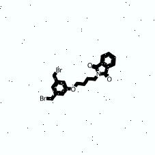 O=C1c2ccccc2C(=O)N1CCCCOc1cc(CBr)cc(CBr)c1